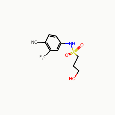 N#Cc1ccc(NS(=O)(=O)CCCO)cc1C(F)(F)F